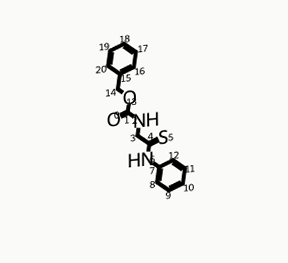 O=C(NCC(=S)Nc1ccccc1)OCc1ccccc1